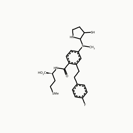 CSCC[C@H](NC(=O)c1ccc(N(C)C2NCCC2S)cc1CCc1ccc(F)cc1)C(=O)O